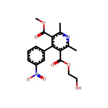 COC(=O)c1c(C)nc(C)c(C(=O)OCCO)c1-c1cccc([N+](=O)[O-])c1